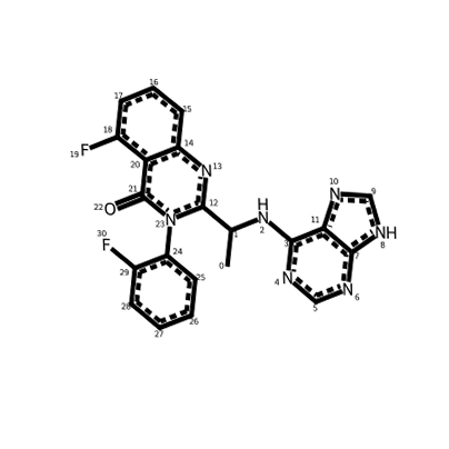 CC(Nc1ncnc2[nH]cnc12)c1nc2cccc(F)c2c(=O)n1-c1ccccc1F